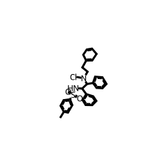 Cc1ccc(S(=O)(=O)NC(c2ccccc2)C(c2ccccc2)N(Cl)CCC2=CCC=CC2)cc1